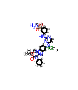 CN(c1ccc2c(c1)nc(N(C(=O)OC(C)(C)C)c1ccccc1)n2C)c1ccnc(Nc2cccc(S(N)(=O)=O)c2)n1.Cl